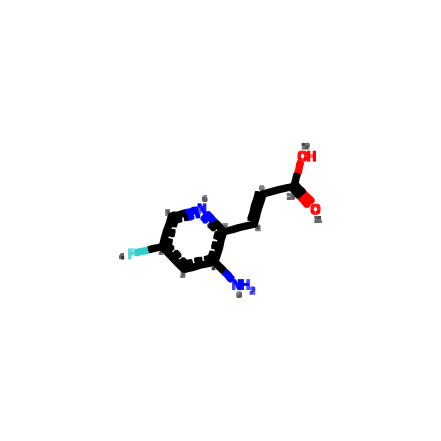 Nc1cc(F)cnc1/C=C/C(=O)O